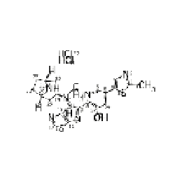 Cc1ncc(-c2cnc(C3=Nc4scnc4[SH]3N(C)[C@@H]3C[C@H]4CC[C@@H](C3)N4)c(O)c2)s1.Cl.Cl